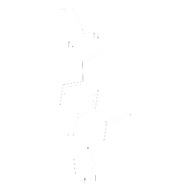 CCC1(CC)CC(=O)c2cc(-c3nc(C)ns3)ccc2O1